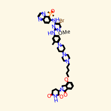 COc1cc(N2CCC(N3CCN(CCCCCOc4cccc5c4CN(C4CCC(=O)NC4=O)C5=O)CC3)CC2)c(C)cc1Nc1ncc(Br)c(Nc2ccc3nccnc3c2P(C)(C)=O)n1